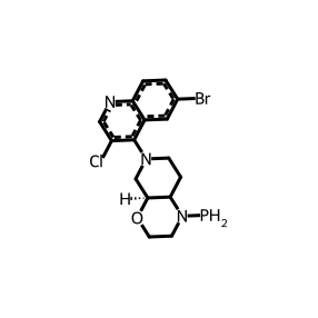 PN1CCO[C@H]2CN(c3c(Cl)cnc4ccc(Br)cc34)CCC21